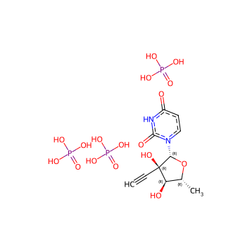 C#C[C@@]1(O)[C@H](O)[C@@H](C)O[C@H]1n1ccc(=O)[nH]c1=O.O=P(O)(O)O.O=P(O)(O)O.O=P(O)(O)O